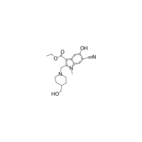 CCOC(=O)c1c(CN2CCC(CO)CC2)n(C)c2cc(C#N)c(O)cc12